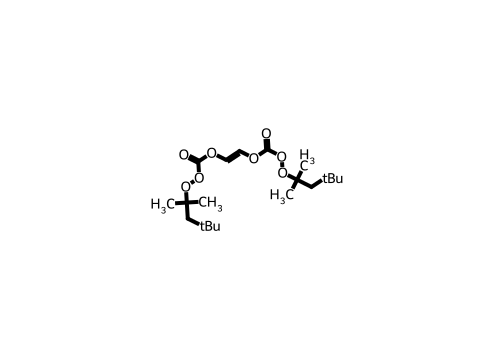 CC(C)(C)CC(C)(C)OOC(=O)OC=COC(=O)OOC(C)(C)CC(C)(C)C